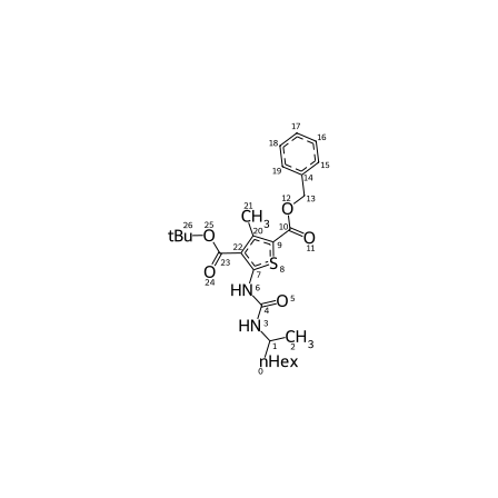 CCCCCCC(C)NC(=O)Nc1sc(C(=O)OCc2ccccc2)c(C)c1C(=O)OC(C)(C)C